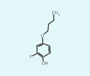 CCCCOc1ccc(O)c(F)c1